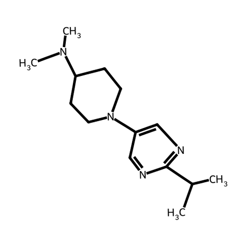 CC(C)c1ncc(N2CCC(N(C)C)CC2)cn1